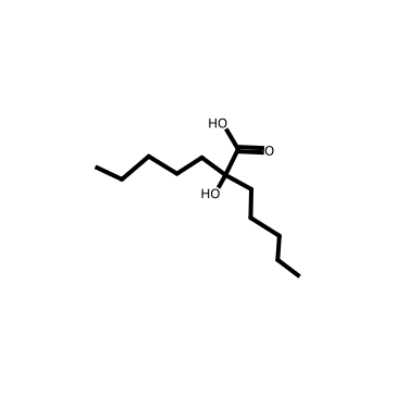 CCCCCC(O)(CCCCC)C(=O)O